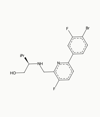 CC(C)[C@H](CO)NCc1nc(-c2ccc(Br)c(F)c2)ccc1F